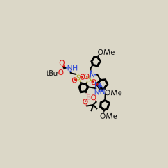 COc1ccc(CN(Cc2ccc(OC)cc2)S(=O)(=O)c2c(S(=O)(=O)CCNC(=O)OC(C)(C)C)ccc(B3OCC(C)(C)CO3)c2-c2nnn(Cc3ccc(OC)cc3)n2)cc1